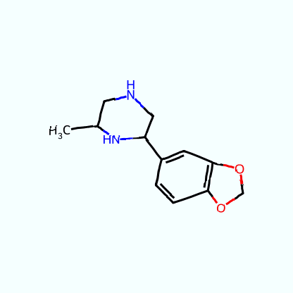 CC1CNCC(c2ccc3c(c2)OCO3)N1